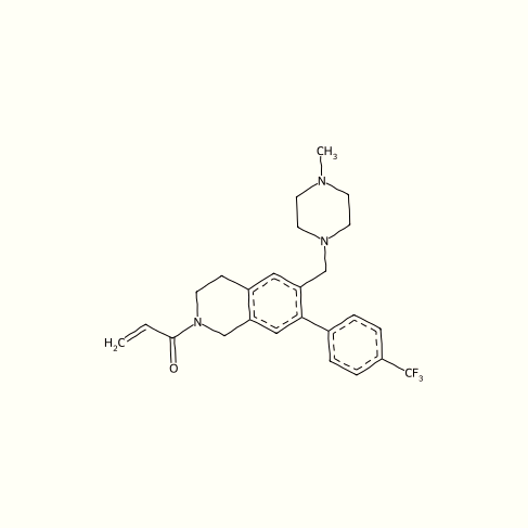 C=CC(=O)N1CCc2cc(CN3CCN(C)CC3)c(-c3ccc(C(F)(F)F)cc3)cc2C1